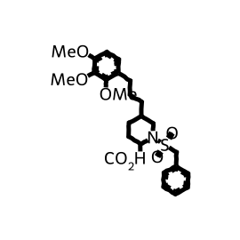 COc1ccc(CCCC2CCC(C(=O)O)N(S(=O)(=O)Cc3ccccc3)C2)c(OC)c1OC